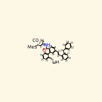 CSCC[C@H](NC(=O)c1ccc(C=Cc2ccccc2Cc2ccccc2)cc1-c1ccccc1C)C(=O)O.[LiH]